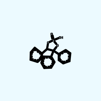 O=P1(O)OC(c2ccccc2)C(c2ccccc2)(c2ccccc2)O1